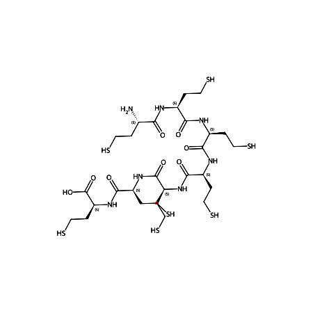 N[C@@H](CCS)C(=O)N[C@@H](CCS)C(=O)N[C@@H](CCS)C(=O)N[C@@H](CCS)C(=O)N[C@@H](CCS)C(=O)N[C@@H](CCS)C(=O)N[C@@H](CCS)C(=O)O